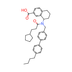 CCCCc1ccc(-c2ccc(CN(C(=O)CCC3CCCC3)C3CCCc4ccc(C(=O)O)cc43)cc2)cc1